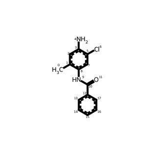 Cc1cc(N)c(Cl)cc1NC(=O)c1ccccc1